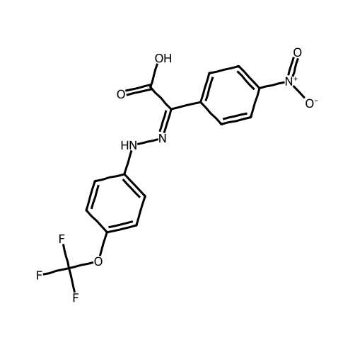 O=C(O)C(=NNc1ccc(OC(F)(F)F)cc1)c1ccc([N+](=O)[O-])cc1